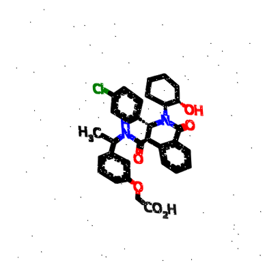 CC(NC(=O)[C@@H]1c2ccccc2C(=O)N([C@H]2CCCC[C@@H]2O)[C@H]1c1ccc(Cl)cc1)c1cccc(OCC(=O)O)c1